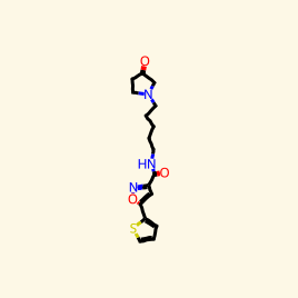 O=C1CCN(CCCCCNC(=O)c2cc(-c3cccs3)on2)C1